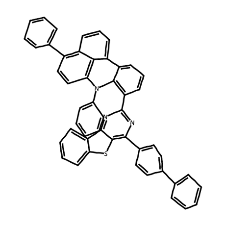 c1ccc(-c2ccc(-c3nc(-c4cccc5c4N(c4ccccc4)c4ccc(-c6ccccc6)c6cccc-5c46)nc4c3sc3ccccc34)cc2)cc1